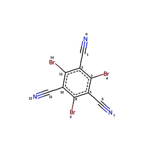 N#Cc1c(Br)c(C#N)c(Br)c(C#N)c1Br